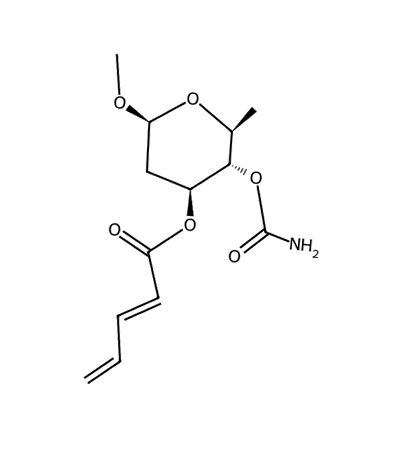 C=C/C=C/C(=O)O[C@H]1C[C@@H](OC)O[C@@H](C)[C@@H]1OC(N)=O